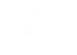 CSc1cc(C=O)cc2ccc(Cl)cc12